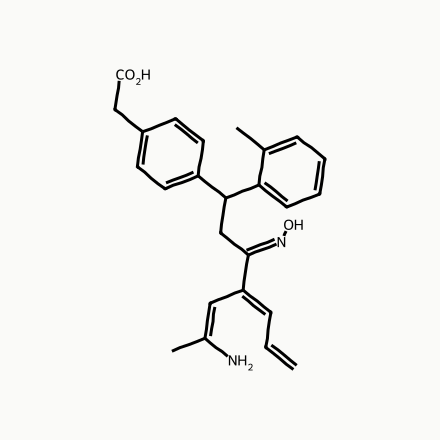 C=C/C=C(\C=C(\C)N)C(/CC(c1ccc(CC(=O)O)cc1)c1ccccc1C)=N/O